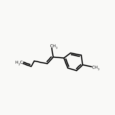 C=CCC=C(C)c1ccc(C)cc1